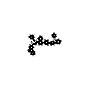 CC1(C)c2ccccc2-c2cc(-c3cc(-c4ccc(-c5ccc(-c6ccc7c8ccccc8n(-c8ccccc8)c7c6)cc5)c5ccccc45)nc(-c4ccccc4)n3)ccc21